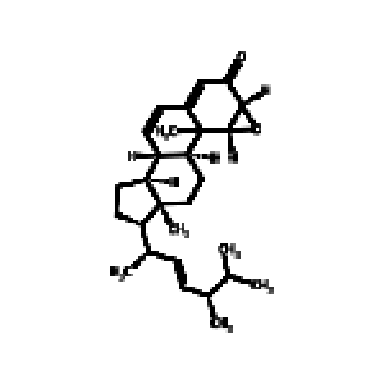 CC(C)[C@@H](C)/C=C/[C@@H](C)[C@H]1CC[C@H]2[C@@H]3C=CC4=CC(=O)[C@@H]5O[C@@H]5[C@]4(C)[C@H]3CC[C@]12C